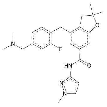 CN(C)Cc1ccc(Cc2cc(C(=O)Nc3ccn(C)n3)cc3c2CC(C)(C)O3)c(F)c1